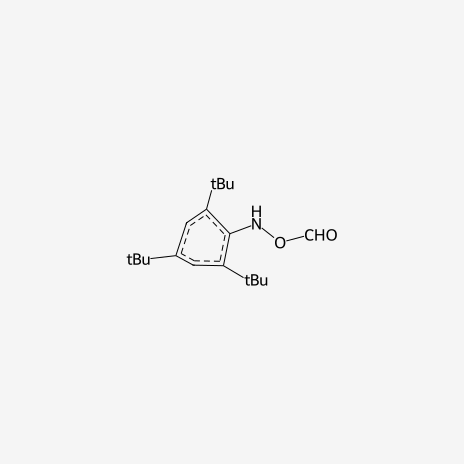 CC(C)(C)c1cc(C(C)(C)C)c(NOC=O)c(C(C)(C)C)c1